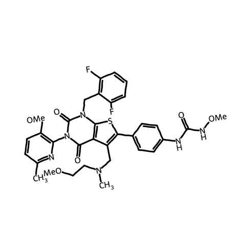 COCCN(C)Cc1c(-c2ccc(NC(=O)NOC)cc2)sc2c1c(=O)n(-c1nc(C)ccc1OC)c(=O)n2Cc1c(F)cccc1F